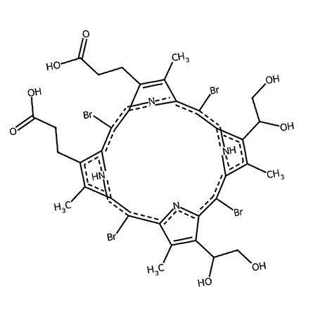 CC1=C(C(O)CO)c2nc1c(Br)c1[nH]c(c(Br)c3nc(c(Br)c4[nH]c(c(C)c4C(O)CO)c2Br)C(C)=C3CCC(=O)O)c(CCC(=O)O)c1C